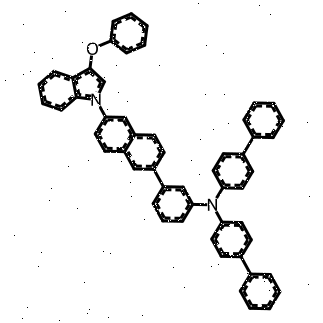 c1ccc(Oc2cn(-c3ccc4cc(-c5cccc(N(c6ccc(-c7ccccc7)cc6)c6ccc(-c7ccccc7)cc6)c5)ccc4c3)c3ccccc23)cc1